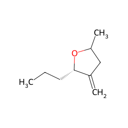 C=C1CC(C)O[C@H]1CCC